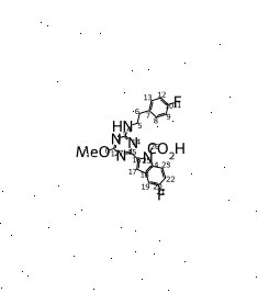 COc1nc(NCCc2ccc(F)cc2)nc(-c2cc3cc(F)ccc3n2C(=O)O)n1